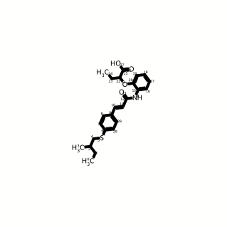 CCC(C)CSc1ccc(C=CC(=O)Nc2ccccc2OC(CC)C(=O)O)cc1